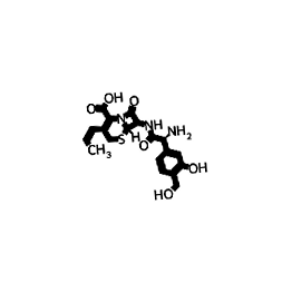 C/C=C\C1=C(C(=O)O)N2C(=O)C(NC(=O)[C@H](N)c3ccc(CO)c(O)c3)[C@H]2SC1